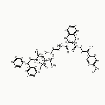 COc1ccc(C(=O)CCC(=O)N2Cc3ccccc3C[C@H]2C(=O)NCCCC[C@@H](C(=O)NCC(c2ccccc2)c2ccccc2)N(C(=O)O)C(C)(C)C)cc1